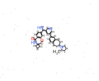 C[C@@H]1CCCN1C1CCc2ccc(-c3cncc(C(=N)c4ccc5c(c4)OCC4(CCC4)NC5=O)c3)cc2CC1